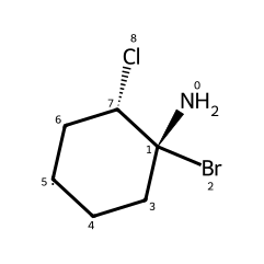 N[C@@]1(Br)CC[CH]C[C@@H]1Cl